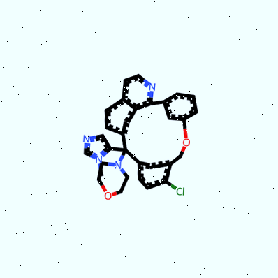 Cn1cncc1C1(N2CCOCC2)c2ccc(Cl)c(c2)COc2cccc(c2)-c2nccc3ccc1cc23